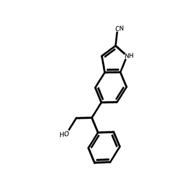 N#Cc1cc2cc(C(CO)c3ccccc3)ccc2[nH]1